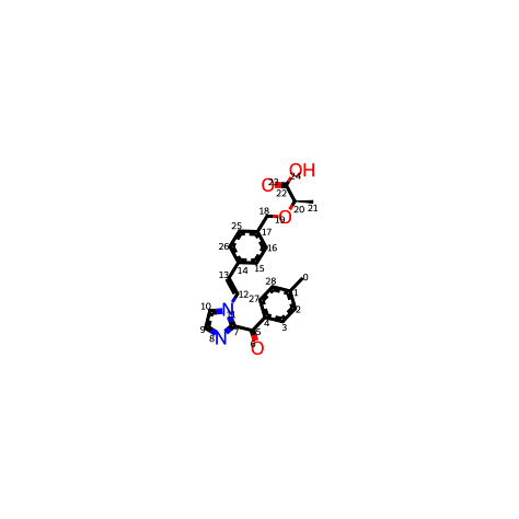 Cc1ccc(C(=O)c2nccn2/C=C/c2ccc(CO[C@H](C)C(=O)O)cc2)cc1